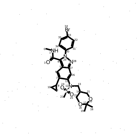 CNC(=O)c1c2cc(C3CC3)c(N(CC3COC(C)(C)OC3)S(C)(=O)=O)cc2nn1-c1ccc(Br)cc1